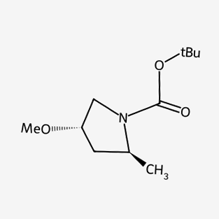 CO[C@H]1C[C@H](C)N(C(=O)OC(C)(C)C)C1